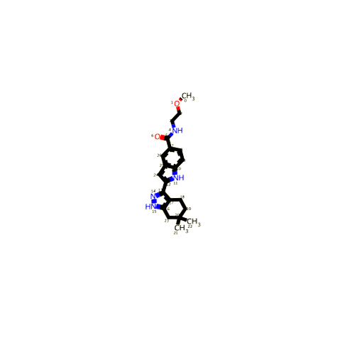 COCCNC(=O)c1ccc2[nH]c(-c3n[nH]c4c3CCC(C)(C)C4)cc2c1